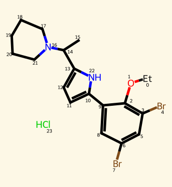 CCOc1c(Br)cc(Br)cc1-c1ccc(C(C)N2CCCCC2)[nH]1.Cl